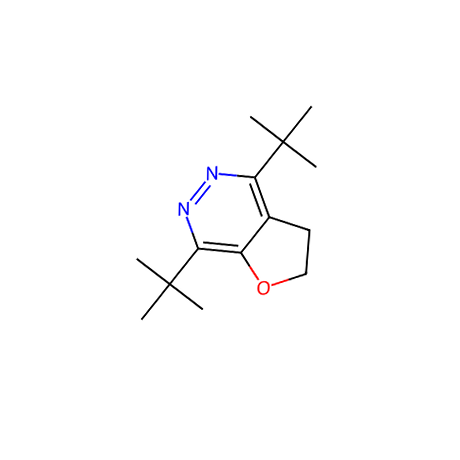 CC(C)(C)c1nnc(C(C)(C)C)c2c1CCO2